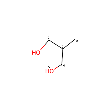 CC([CH]O)[CH]O